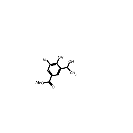 COC(=O)c1cc(Br)c(O)c(C(C)O)c1